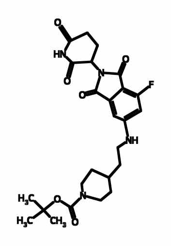 CC(C)(C)OC(=O)N1CCC(CCNc2cc(F)c3c(c2)C(=O)N(C2CCC(=O)NC2=O)C3=O)CC1